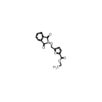 CCOC(=O)c1ccc(CON2C(=O)c3ccccc3C2=O)o1